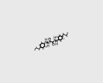 CCCc1ccc(NNC(=O)C(=O)NNc2ccc(CCC)cc2)cc1